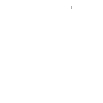 CC(/C=C/C=C(/C=C/C1=CCCCC1)c1ccccc1)=C\CN